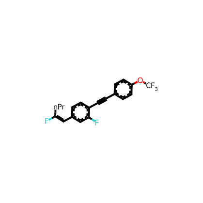 CCC/C(F)=C\c1ccc(C#Cc2ccc(OC(F)(F)F)cc2)c(F)c1